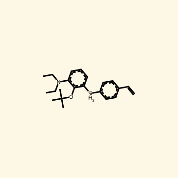 C=Cc1ccc([SiH2]c2cccc(N(CC)CC)c2OC(C)(C)C)cc1